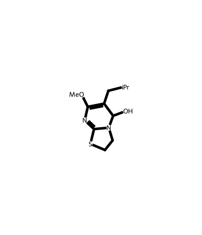 COC1=C(CC(C)C)C(O)N2CCSC2=N1